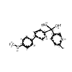 Cc1ccc(C(O)(c2ccc(-c3ccc(OC(F)(F)F)cc3)cn2)C(C)(C)C)cn1